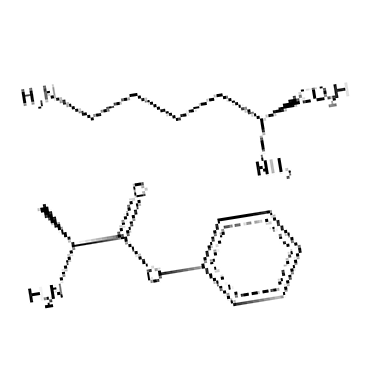 C[C@H](N)C(=O)Oc1ccccc1.NCCCC[C@H](N)C(=O)O